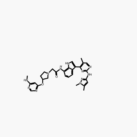 CNc1cc(OC2CCN(CC(=O)Nc3cccc4c(-c5nc(Nc6cc(C)n(C)n6)ncc5C)c[nH]c34)C2)ncn1